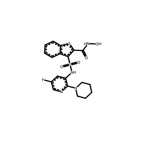 O=C(NO)c1sc2ccccc2c1S(=O)(=O)Nc1cc(F)cnc1N1CCCCC1